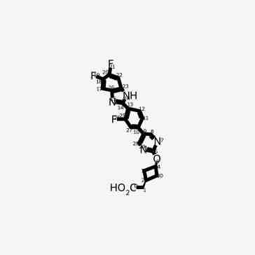 O=C(O)C[C@H]1C[C@@H](Oc2ncc(-c3ccc(-c4nc5cc(F)c(F)cc5[nH]4)c(F)c3)cn2)C1